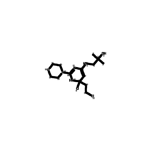 CC(C)(O)CNC1=CC(Cl)(CCCl)NC(N2CCOCC2)=N1